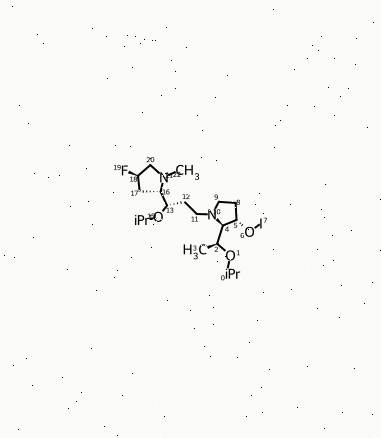 CC(C)O[C@@H](C)[C@@H]1[C@@H](OI)CCN1CC[C@H](OC(C)C)[C@@H]1C[C@@H](F)CN1C